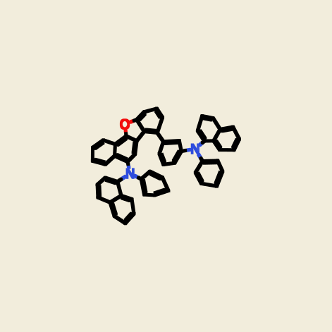 c1ccc(N(c2cccc(-c3cccc4oc5c6ccccc6c(N(c6ccccc6)c6cccc7ccccc67)cc5c34)c2)c2cccc3ccccc23)cc1